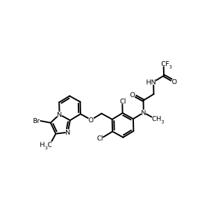 Cc1nc2c(OCc3c(Cl)ccc(N(C)C(=O)CNC(=O)C(F)(F)F)c3Cl)cccn2c1Br